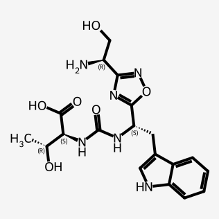 C[C@@H](O)[C@H](NC(=O)N[C@@H](Cc1c[nH]c2ccccc12)c1nc([C@@H](N)CO)no1)C(=O)O